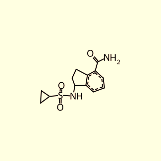 NC(=O)c1cccc2c1CCC2NS(=O)(=O)C1CC1